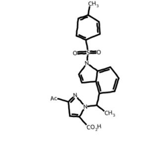 CC(=O)c1cc(C(=O)O)n(C(C)c2cccc3c2ccn3S(=O)(=O)c2ccc(C)cc2)n1